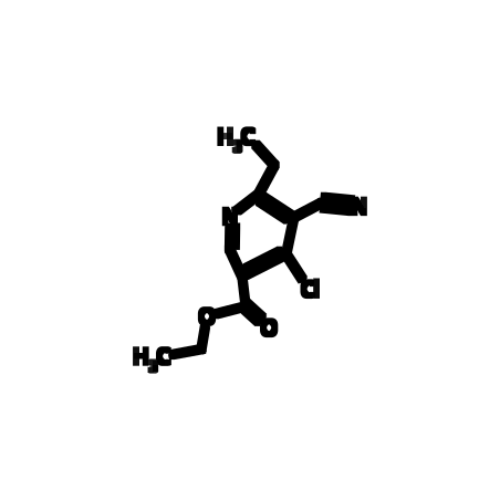 CCOC(=O)c1cnc(CC)c(C#N)c1Cl